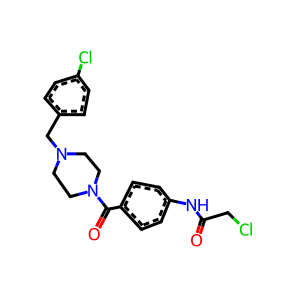 O=C(CCl)Nc1ccc(C(=O)N2CCN(Cc3ccc(Cl)cc3)CC2)cc1